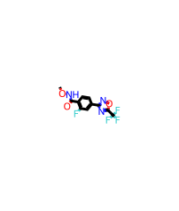 CONC(=O)c1ccc(-c2noc(C(F)(F)F)n2)cc1F